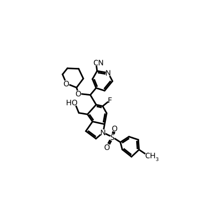 Cc1ccc(S(=O)(=O)n2ccc3c(CO)c(C(OC4CCCCO4)c4ccnc(C#N)c4)c(F)cc32)cc1